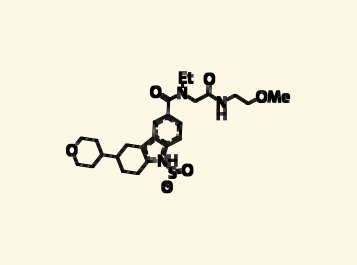 CCN(CC(=O)NCCOC)C(=O)c1ccc2c(c1)c1c(n2[SH](=O)=O)CCC(C2CCOCC2)C1